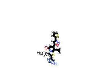 O=C(O)C1C(c2c[nH]cn2)Sc2c(C3CC3)c(-c3cc(-c4cccs4)no3)cc(=O)n21